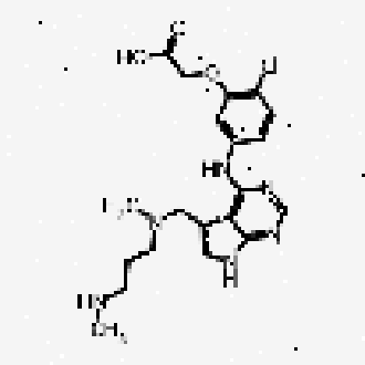 CNCCCN(C)Cc1c[nH]c2ncnc(Nc3ccc(Cl)c(OCC(=O)O)c3)c12